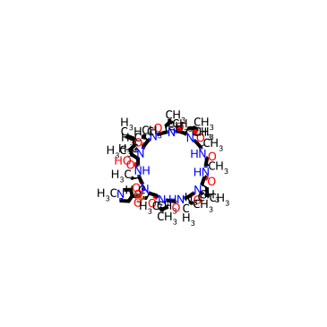 C/C=C/C[C@@H](C)[C@@H](O)[C@@H]1C(=O)N[C@H](CC)C(=O)N(C)[C@H](CS(=O)(=O)C2CCN(C)CC2)C(=O)N(C)[C@@H](CC(C)C)C(=O)N[C@H](C(C)C)C(=O)N(C)[C@H](CC(C)C)C(=O)N[C@H](C)C(=O)N[C@@H](C)C(=O)N(C)[C@H](CC(C)C)C(=O)N(C)[C@H](CC(C)C)C(=O)N(C)[C@H](C(C)C)C(=O)N1C